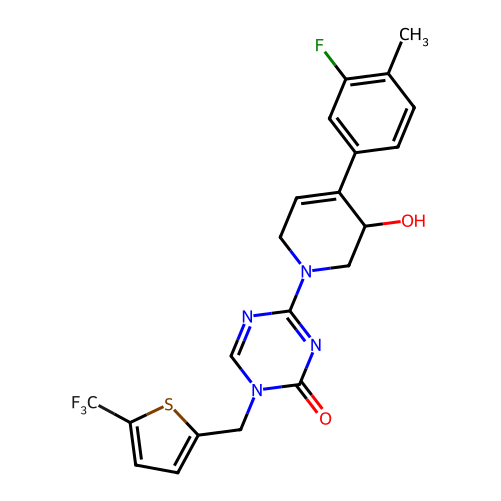 Cc1ccc(C2=CCN(c3ncn(Cc4ccc(C(F)(F)F)s4)c(=O)n3)CC2O)cc1F